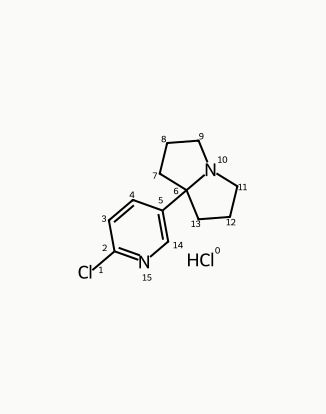 Cl.Clc1ccc(C23CCCN2CCC3)cn1